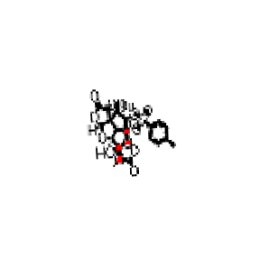 Cc1ccc(S(=O)(=O)O[C@H]2C3OC(=O)[C@@]45O[C@@H]6OC(=O)[C@H](O)C6([C@@H]2C(C)(C)C)C34[C@@H](O)C2OC(=O)[C@@H](C)[C@@]25O)cc1